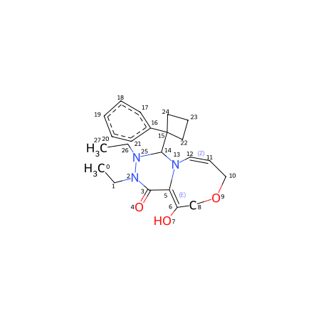 CCN1C(=O)/C2=C(\O)COC/C=C\N2C(C2(c3ccccc3)CCC2)N1CC